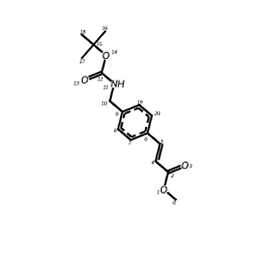 COC(=O)/C=C/c1ccc(CNC(=O)OC(C)(C)C)cc1